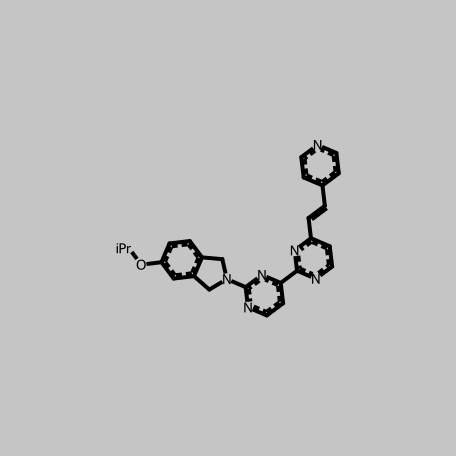 CC(C)Oc1ccc2c(c1)CN(c1nccc(-c3nccc(/C=C/c4ccncc4)n3)n1)C2